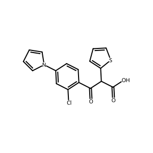 O=C(O)C(C(=O)c1ccc(-n2cccc2)cc1Cl)c1cccs1